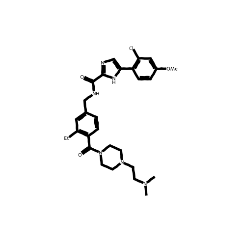 CCc1cc(CNC(=O)c2ncc(-c3ccc(OC)cc3Cl)[nH]2)ccc1C(=O)N1CCN(CCN(C)C)CC1